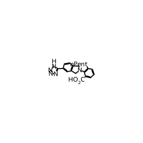 CCCCCc1cccc(C(=O)O)c1N1Cc2ccc(-c3nnn[nH]3)cc2C1